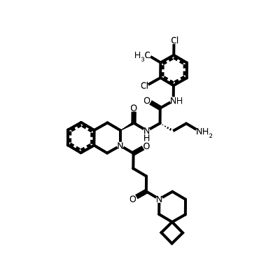 Cc1c(Cl)ccc(NC(=O)[C@H](CCN)NC(=O)[C@@H]2Cc3ccccc3CN2C(=O)CCC(=O)N2CCCC3(CCC3)C2)c1Cl